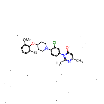 CCc1cccc(OC)c1OC1CCN(c2ccc(-n3c(C)nc(C)cc3=O)cc2Cl)CC1